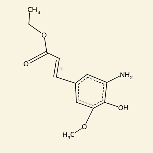 CCOC(=O)/C=C/c1cc(N)c(O)c(OC)c1